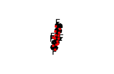 Fc1ccc2c3ccc4c5cc6c(C(F)F)c7c8ccc9c%10cccc%11c(F)ccc(c%12ccc(c7c(C(F)F)c6cc5c5ccc(c6cccc1c26)c3c45)c8c9%12)c%11%10